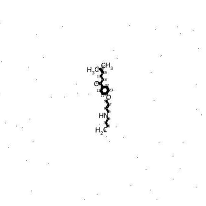 C=CCCNCC=CCOc1ccc(C(=O)CCC=C(C)C)cc1